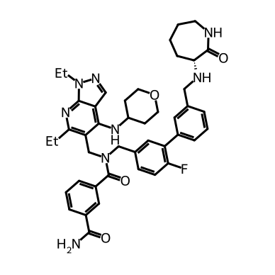 CCc1nc2c(cnn2CC)c(NC2CCOCC2)c1CN(Cc1ccc(F)c(-c2cccc(CN[C@@H]3CCCCNC3=O)c2)c1)C(=O)c1cccc(C(N)=O)c1